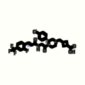 O=C(/C=C/c1ccc(C(F)(F)F)cc1F)NCC(=O)N1CCN(CC2CC(C(=O)O)C2)C[C@H]1c1ccc(Cl)cc1